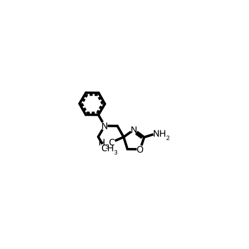 CCN(CC1(C)COC(N)=N1)c1ccccc1